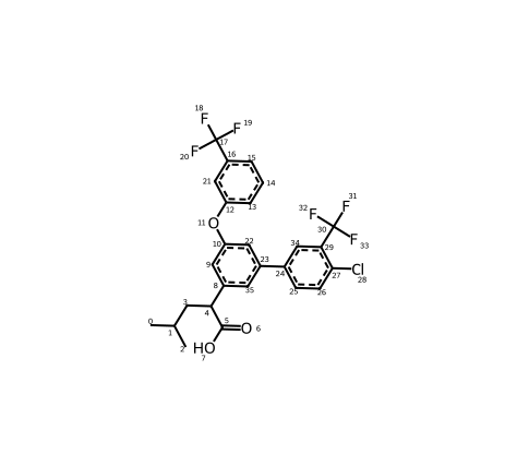 CC(C)CC(C(=O)O)c1cc(Oc2cccc(C(F)(F)F)c2)cc(-c2ccc(Cl)c(C(F)(F)F)c2)c1